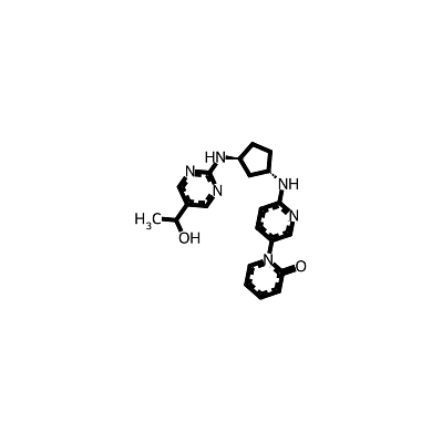 CC(O)c1cnc(N[C@H]2CC[C@H](Nc3ccc(-n4ccccc4=O)cn3)C2)nc1